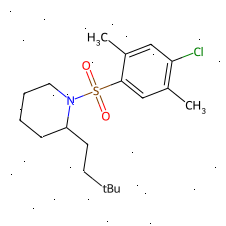 Cc1cc(S(=O)(=O)N2CCCCC2CCC(C)(C)C)c(C)cc1Cl